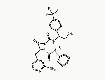 CCC(NC(=O)N1C(=O)[C@H](Cc2ccnc(N)c2)[C@H]1C(=O)N(C)c1ccccc1)c1ccc(C(F)(F)F)cc1